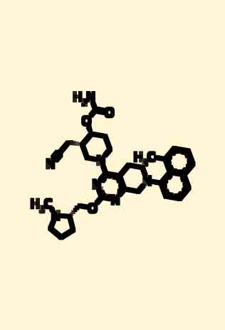 Cc1cccc2cccc(N3CCc4c(nc(OC[C@@H]5CCCN5C)nc4N4CC[C@H](OC(N)=O)[C@@H](CC#N)C4)C3)c12